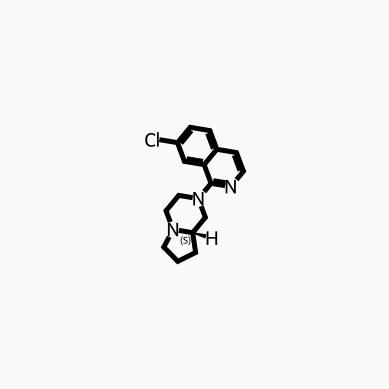 Clc1ccc2ccnc(N3CCN4CCC[C@H]4C3)c2c1